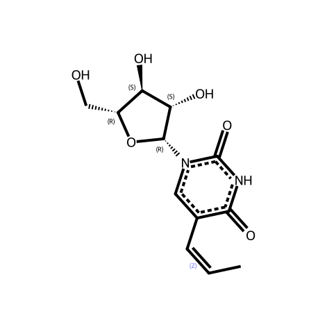 C/C=C\c1cn([C@@H]2O[C@H](CO)[C@@H](O)[C@@H]2O)c(=O)[nH]c1=O